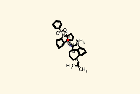 CC(C)=C[C@H]1CCC[C@]2(/N=N/[C@]34CCC[C@H]3N(S(=O)(=O)c3ccccc3)c3ccccc34)c3c1cccc3N(C)[C@H]2C#N